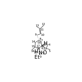 CCN1OC(C)(C)[C@H]2C[C@@H](CC=C(C)C)CC(C)[C@@H]21